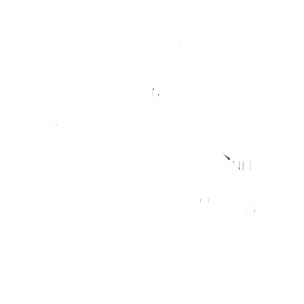 COc1ccc(N(C2CC2)[C@H]2CC[C@H](NC(=O)OC(C)(C)C)CC2)cc1